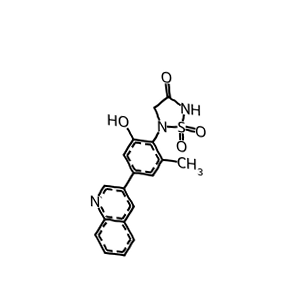 Cc1cc(-c2cnc3ccccc3c2)cc(O)c1N1CC(=O)NS1(=O)=O